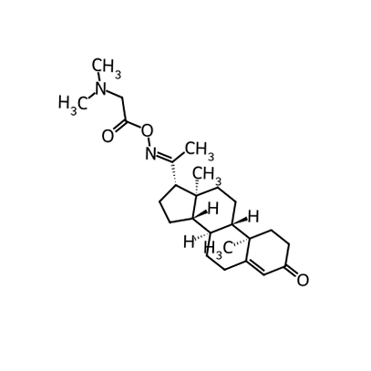 C/C(=N\OC(=O)CN(C)C)[C@H]1CC[C@H]2[C@@H]3CCC4=CC(=O)CC[C@]4(C)[C@H]3CC[C@]12C